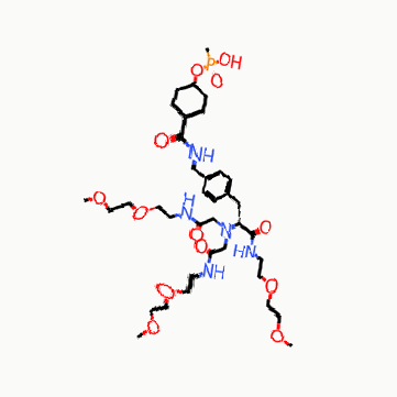 COCCOCCNC(=O)CN(CC(=O)NCCOCCOC)[C@@H](Cc1ccc(CNC(=O)C2CCC(OP(C)(=O)O)CC2)cc1)C(=O)NCCOCCOC